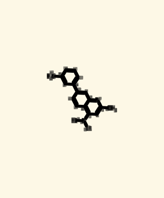 CCN(CC)c1cc(C)nc2cc(-c3cccc(C(F)(F)F)c3)ccc12